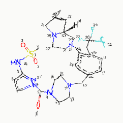 CS(=O)(=O)Nc1ccn(C(=O)N2CCN(Cc3ccc(C(F)(F)F)c(N4CCN5CCC[C@@H]5C4)c3)CC2)n1